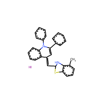 Cc1cccc2c1NC(C=C1C=C(c3ccccc3)N(c3ccccc3)c3ccccc31)S2.I